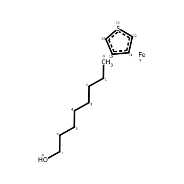 CCCCCCCCO.[Fe].c1ccsc1